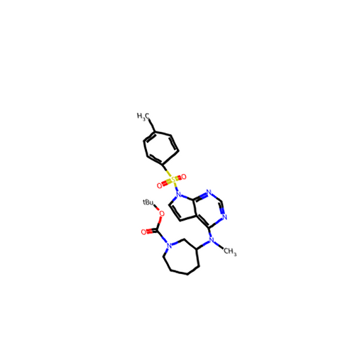 Cc1ccc(S(=O)(=O)n2ccc3c(N(C)C4CCCCN(C(=O)OC(C)(C)C)C4)ncnc32)cc1